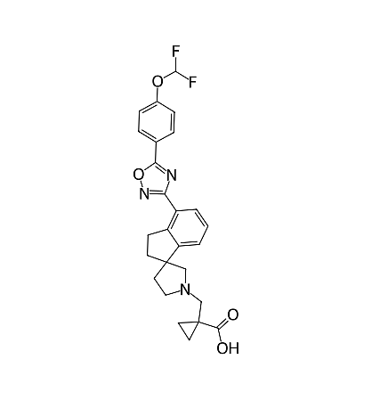 O=C(O)C1(CN2CCC3(CCc4c(-c5noc(-c6ccc(OC(F)F)cc6)n5)cccc43)C2)CC1